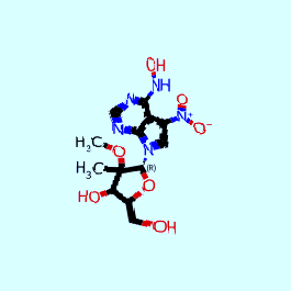 COC1(C)C(O)C(CO)O[C@H]1n1cc([N+](=O)[O-])c2c(NO)ncnc21